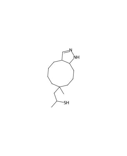 CC(S)CC1(C)CCCCC2C=NNC2CCC1